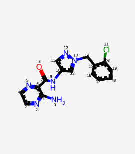 Nc1nccnc1C(=O)Nc1cnn(Cc2ccccc2Cl)c1